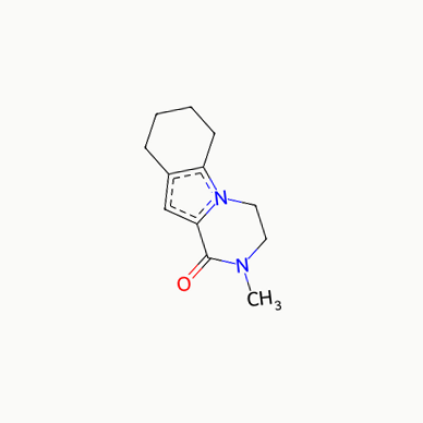 CN1CCn2c(cc3c2CCCC3)C1=O